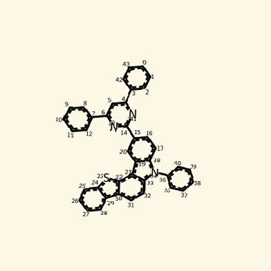 c1ccc(-c2cc(-c3ccccc3)nc(-c3ccc4c(c3)c3c5sc6ccccc6c5ccc3n4-c3ccccc3)n2)cc1